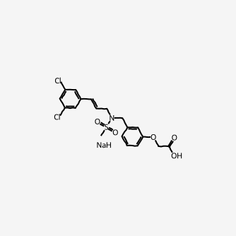 CS(=O)(=O)N(C/C=C/c1cc(Cl)cc(Cl)c1)Cc1cccc(OCC(=O)O)c1.[NaH]